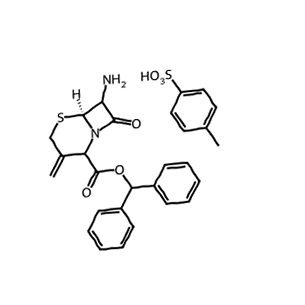 C=C1CS[C@H]2C(N)C(=O)N2C1C(=O)OC(c1ccccc1)c1ccccc1.Cc1ccc(S(=O)(=O)O)cc1